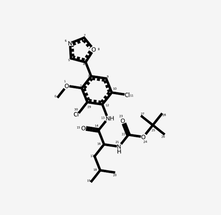 COc1c(-c2cnco2)cc(Cl)c(NC(=O)C(CC(C)C)NC(=O)OC(C)(C)C)c1Cl